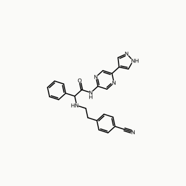 N#Cc1ccc(CCNC(C(=O)Nc2cnc(-c3cn[nH]c3)cn2)c2ccccc2)cc1